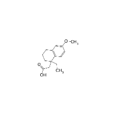 CCC1(CC(=O)O)CCCc2cc(OC)ccc21